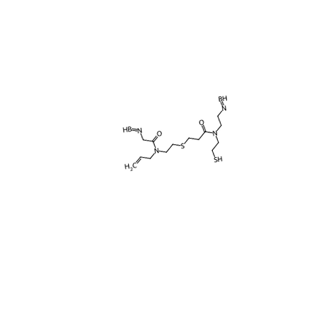 B=NCCN(CCS)C(=O)CCSCCN(CC=C)C(=O)CN=B